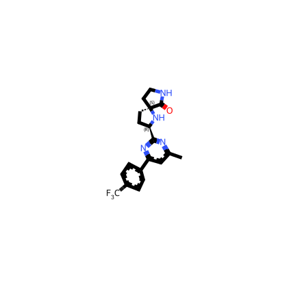 Cc1cc(-c2ccc(C(F)(F)F)cc2)nc([C@H]2CC[C@@]3(CCNC3=O)N2)n1